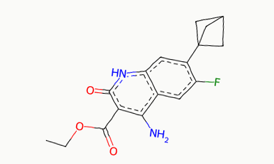 CCOC(=O)c1c(N)c2cc(F)c(C34CC(C3)C4)cc2[nH]c1=O